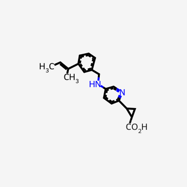 C/C=C(\C)c1cccc(CNc2ccc(C3CC3C(=O)O)nc2)c1